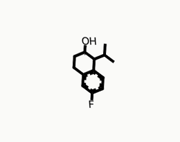 CC(C)C1[C](O)CCc2cc(F)ccc21